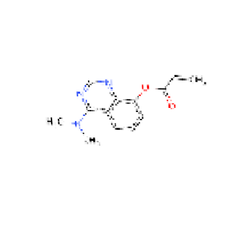 C=CC(=O)Oc1cccc2c(N(C)C)ncnc12